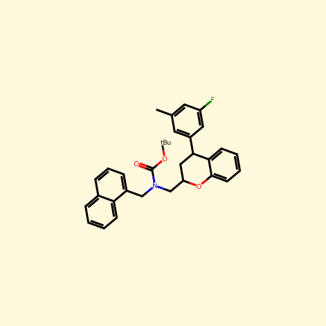 Cc1cc(F)cc(C2CC(CN(Cc3cccc4ccccc34)C(=O)OC(C)(C)C)Oc3ccccc32)c1